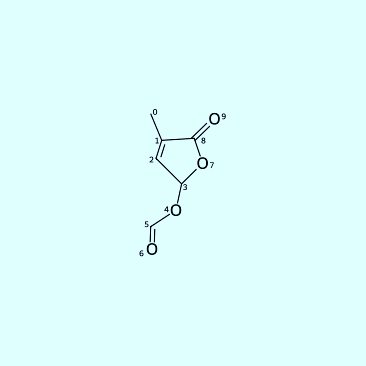 CC1=CC(OC=O)OC1=O